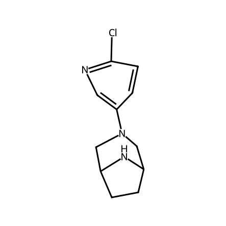 Clc1ccc(N2CC3CCC(C2)N3)cn1